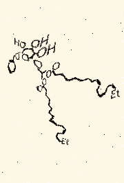 CC/C=C\C/C=C\C/C=C\CCCCCCCC(=O)OCC(COC(=O)CCCCCCC/C=C\C/C=C\C/C=C\CC)CO[C@@H]1O[C@H](COCc2ccccc2)[C@H](O)[C@H](O)[C@H]1O